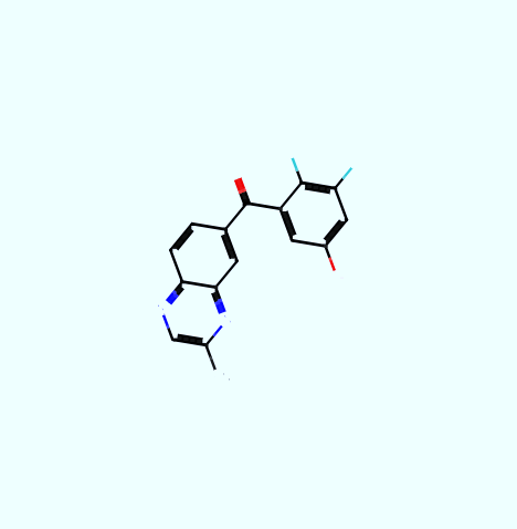 N#Cc1cnc2ccc(C(=O)c3cc(O)cc(F)c3F)cc2n1